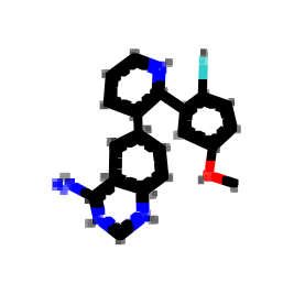 COc1ccc(F)c(-c2ncccc2-c2ccc3ncnc(N)c3c2)c1